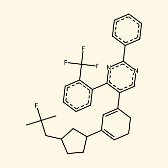 CC(C)(F)CC1CCC(C2=CCCC(c3cnc(-c4ccccc4)nc3-c3ccccc3C(F)(F)F)=C2)C1